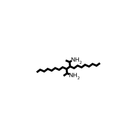 CCCCCCCCC(C(C)N)C(CCCCCCCC)C(C)N